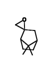 CC1(C)C2CCC1C1(CO1)C2